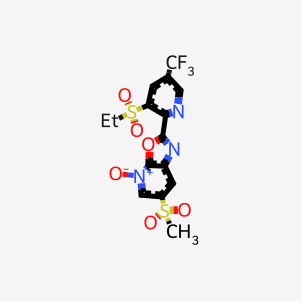 CCS(=O)(=O)c1cc(C(F)(F)F)cnc1-c1nc2cc(S(C)(=O)=O)c[n+]([O-])c2o1